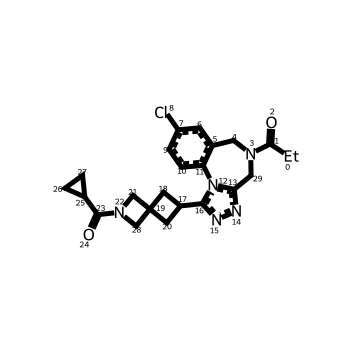 CCC(=O)N1Cc2cc(Cl)ccc2-n2c(nnc2C2CC3(C2)CN(C(=O)C2CC2)C3)C1